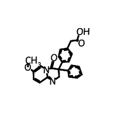 COC1=CN2C(=O)C(c3ccccc3)(c3ccc(CC(=O)O)cc3)CN=C2C=C1